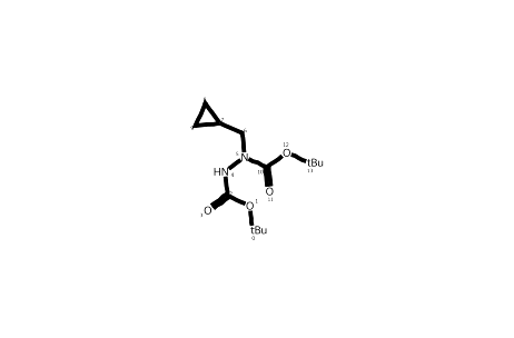 CC(C)(C)OC(=O)NN(CC1CC1)C(=O)OC(C)(C)C